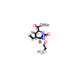 C=CCON1C(=O)N2C[C@@H]1c1ccsc1C2C(=O)OC